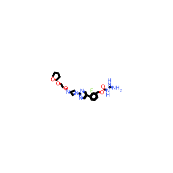 N=C(N)NC(=O)OCc1cccc(-c2cnc(N3CC(=NOCCO[C@H]4CCCCO4)C3)nc2)c1F